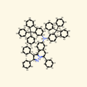 c1ccc(-c2nn3c(-c4ccccc4)cc4cc(N(c5ccc6c(c5)C(c5ccccc5)(c5ccccc5)c5ccccc5-6)c5ccc6c(c5)C(c5ccccc5)(c5ccccc5)c5ccccc5-6)ccc4c3c2-c2ccccc2)cc1